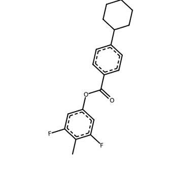 Cc1c(F)cc(OC(=O)c2ccc(C3CCCCC3)cc2)cc1F